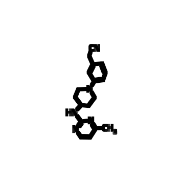 Cc1ccnc(NC2CCN(c3cccc(CC#N)c3)CC2)n1